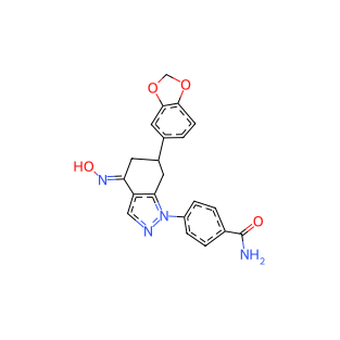 NC(=O)c1ccc(-n2ncc3c2CC(c2ccc4c(c2)OCO4)C/C3=N\O)cc1